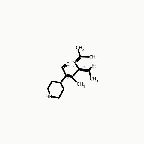 C=C/C(=C(C)\C(N=C(C)C)=C(/C)CC)C1CCNCC1